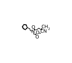 C=CCCC(=O)N(CCc1ccccc1)CC(=O)OCC#N